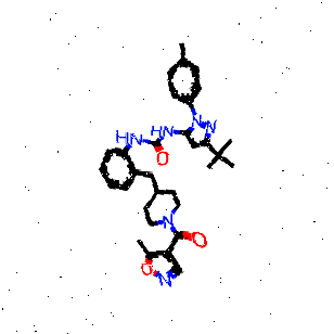 Cc1ccc(-n2nc(C(C)(C)C)cc2NC(=O)Nc2ccccc2CC2CCN(C(=O)c3cnoc3C)CC2)cc1